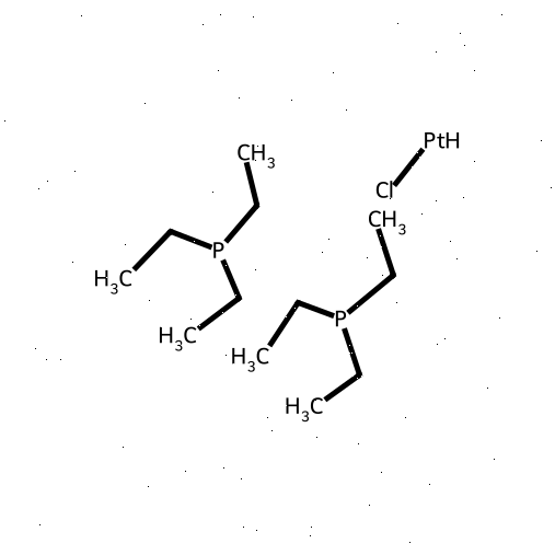 CCP(CC)CC.CCP(CC)CC.[Cl][PtH]